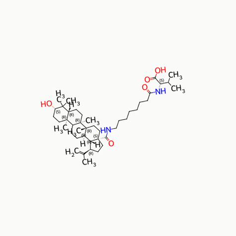 C=C(C)[C@@H]1CC[C@]2(C(=O)NCCCCCCCC(=O)N[C@H](C(=O)O)C(C)C)CC[C@]3(C)[C@H](CCC4[C@@]5(C)CC[C@H](O)C(C)(C)[C@@H]5CC[C@]43C)[C@@H]12